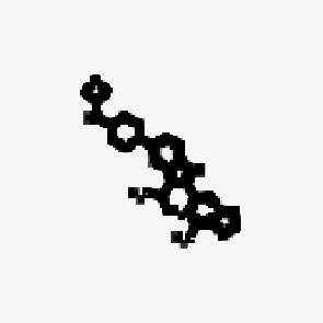 Cc1cc(-c2[nH]c3ccc(C4CCC(NC5COC5)CC4)nc3c2C(C)C)cn2ncnc12